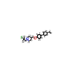 C=CC1C=CC(c2ccc(OCC3CCN(CC(C)(C)F)CC3)cc2)=CC1